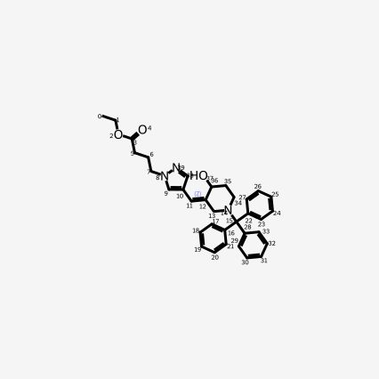 CCOC(=O)CCCn1cc(/C=C2/CN(C(c3ccccc3)(c3ccccc3)c3ccccc3)CCC2O)cn1